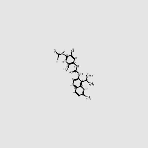 CO[C@@H](C)c1c(NC(=O)Nc2cc(Cl)c(OC(F)F)nc2C)cnc2ccc(C)nc12